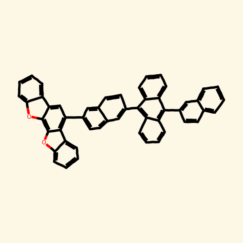 c1ccc2cc(-c3c4ccccc4c(-c4ccc5cc(-c6cc7c8ccccc8oc7c7oc8ccccc8c67)ccc5c4)c4ccccc34)ccc2c1